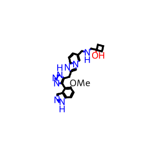 COc1ccc2[nH]ncc2c1-c1nn[nH]c1Cc1cn2cc(CNCC3(O)CCC3)ccc2n1